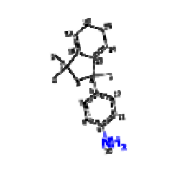 CC1(C)CC(C)(c2ccc(N)cc2)C2=CCCC=C21